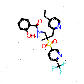 CCc1ccnc(CC(C)(CNC(=O)c2ccccc2O)S(=O)(=O)c2ccc(C(F)(F)F)nc2)c1